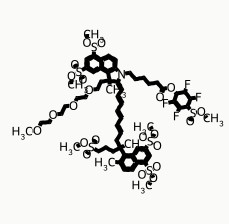 COCCOCCOCCOCCC1(C)\C(=C/C=C/C=C/C=C/CC(C)(CCCS(=O)(=O)OC)c2c(C)ccc3c(S(=O)(=O)OC)cc(S(=O)(=O)OC)cc23)N(CCCCCC(=O)OC2C(F)=C(F)C(S(=O)OC)C(F)C2F)c2ccc3c(S(=O)OC)cc(S(=O)(=O)OC)cc3c21